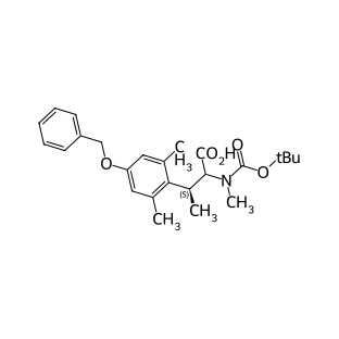 Cc1cc(OCc2ccccc2)cc(C)c1[C@H](C)C(C(=O)O)N(C)C(=O)OC(C)(C)C